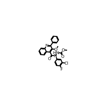 COC(=O)NN(C(=O)c1c(OC)c(-c2ccccc2)nc2ccccc12)c1ccc(F)c(Cl)c1